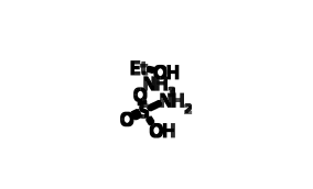 CCO.N.NS(=O)(=O)O